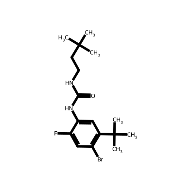 CC(C)(C)CCNC(=O)Nc1cc(C(C)(C)C)c(Br)cc1F